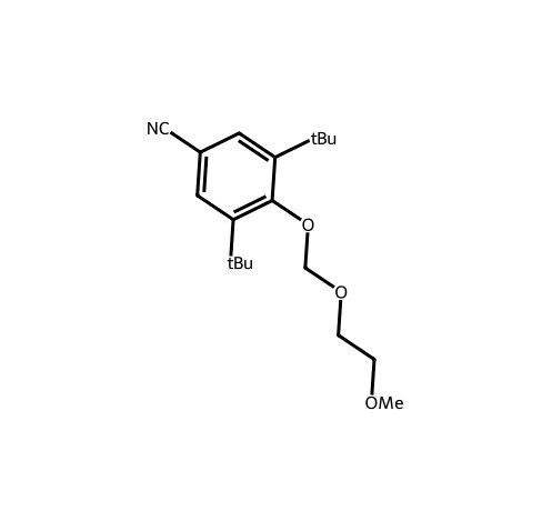 COCCOCOc1c(C(C)(C)C)cc(C#N)cc1C(C)(C)C